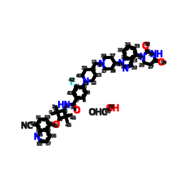 CC1(C)C(NC(=O)c2ccc(N3CCC(CN4CCC(n5ncc6c(N7CCC(=O)NC7=O)cccc65)CC4)CC3)c(F)c2)C(C)(C)C1Oc1ccc(C#N)c2ncccc12.O=CO